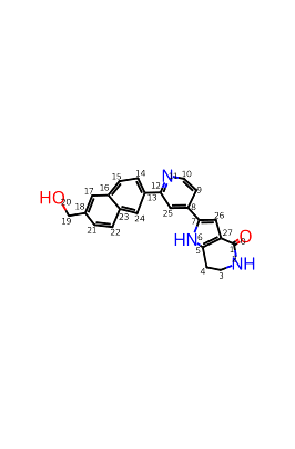 O=C1NCCc2[nH]c(-c3ccnc(-c4ccc5cc(CO)ccc5c4)c3)cc21